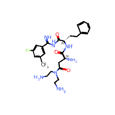 N=C(NC(=O)[C@H](CCc1ccccc1)NC(=O)[C@@H](N)CC(=O)N(CCN)CCN)c1cc(F)cc(C(F)(F)F)c1